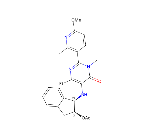 CCc1nc(-c2ccc(OC)nc2C)n(C)c(=O)c1N[C@@H]1c2ccccc2C[C@@H]1OC(C)=O